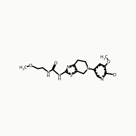 COCCNC(=O)Nc1nc2c(s1)CN(c1cnc(Cl)c(OC)c1)CC2